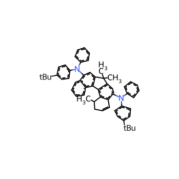 CC1CC=Cc2c(N(c3ccccc3)c3ccc(C(C)(C)C)cc3)cc3c(c21)-c1c(cc(N(c2ccccc2)c2ccc(C(C)(C)C)cc2)c2ccccc12)C3(C)C